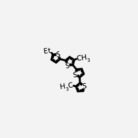 CCc1ccc(-c2cc(C)c(-c3ccc(-c4sccc4C)s3)s2)s1